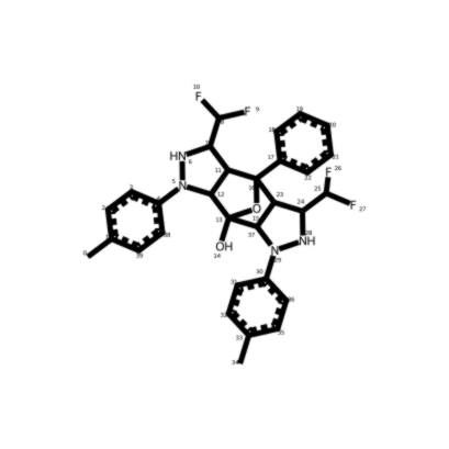 Cc1ccc(N2NC(C(F)F)C3C2C2(O)OC3(c3ccccc3)C3C(C(F)F)NN(c4ccc(C)cc4)C32)cc1